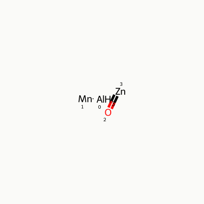 [AlH3].[Mn].[O]=[Zn]